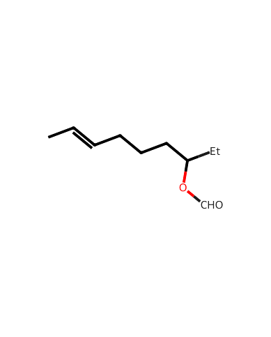 C/C=C/CCCC(CC)OC=O